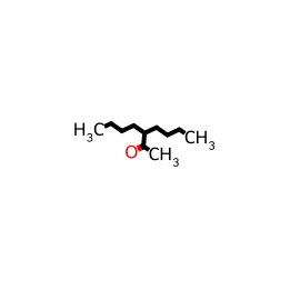 CCCCC(CCCC)C(C)=O